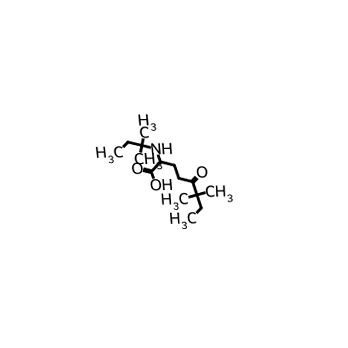 CCC(C)(C)NC(CCC(=O)C(C)(C)CC)C(=O)O